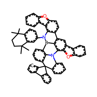 CC1(C)CCC(C)(C)c2cc(N3B4c5cccc6c5N(c5ccccc5C65c6ccccc6-c6ccccc65)c5c4c(cc4c5oc5ccccc54)-c4ccc5oc6ccccc6c5c43)ccc21